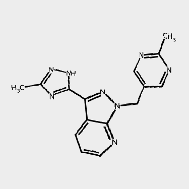 Cc1ncc(Cn2nc(-c3nc(C)n[nH]3)c3cccnc32)cn1